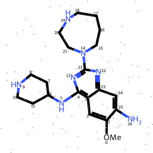 COc1cc2c(NC3CCNCC3)nc(N3CCCCNCC3)nc2cc1N